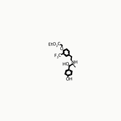 CCOC(=O)COc1ccc(CCN[C@@H](C)[C@H](O)c2ccc(O)cc2)cc1C(F)(F)F